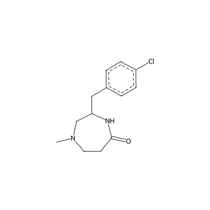 CN1CCC(=O)NC(Cc2ccc(Cl)cc2)C1